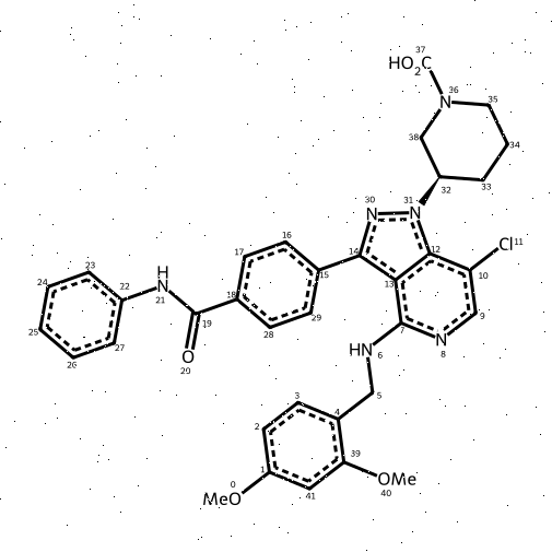 COc1ccc(CNc2ncc(Cl)c3c2c(-c2ccc(C(=O)Nc4ccccc4)cc2)nn3[C@@H]2CCCN(C(=O)O)C2)c(OC)c1